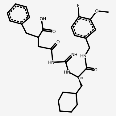 COc1cc(CNC(=O)[C@@H](CC2CCCCC2)NC(=N)NC(=O)CC(Cc2ccccc2)C(=O)O)ccc1F